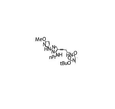 CCCNc1nc(Nc2ccc(OC)nc2)ncc1C#CCCCNC(=O)[C@H](C)N(C)C(=O)OC(C)(C)C